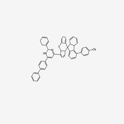 N#Cc1ccc(-c2cccc3c2C2C=CC=CC2C32C3=CCCC=C3SC3C(C4=NC(C5=CC=CCC5)NC(c5ccc(-c6ccccc6)cc5)=C4)=CC=CC32)cc1